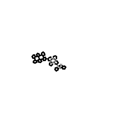 C1=CB2N3C=CC(c4ccc5c6cccc7c6-c6c(cccc6c6ccccc6c5c4)c4ccccc4c4ccccc74)=CB3N3C=CC=CB3N3C=C(n4c5ccccc5n5c6ccccc6nc45)C=CB3N2C=C1